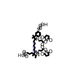 CC1=NN(CCC(=O)ON2C(=O)CCC2=O)\C(=C/C=C/C=C/C2=[N+](CCC(=O)ON3C(=O)CCC3=O)c3ccc(SOOO)cc3C2(C)C)C1(C)CCCS(=O)(=O)O